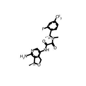 C[C@@H]1OCc2c(NC(=O)C(=O)N(C)[C@H](C)c3ccc(C(F)(F)F)cc3F)cnc(N)c21